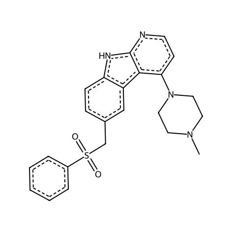 CN1CCN(c2ccnc3[nH]c4ccc(CS(=O)(=O)c5ccccc5)cc4c23)CC1